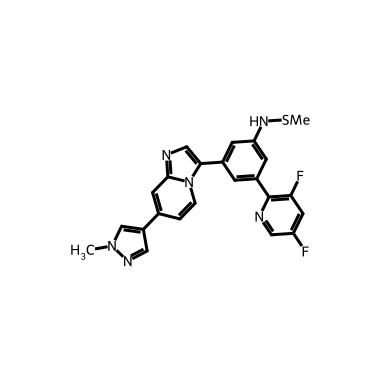 CSNc1cc(-c2ncc(F)cc2F)cc(-c2cnc3cc(-c4cnn(C)c4)ccn23)c1